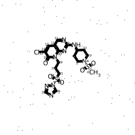 CS(=O)(=O)N1CCC(Nc2ncc3cc(Cl)c(=O)n(CCCS(=O)(=O)n4cncn4)c3n2)CC1